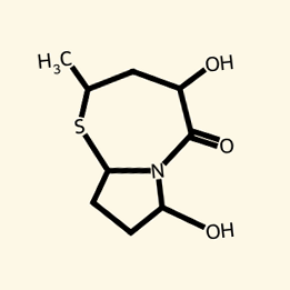 CC1CC(O)C(=O)N2C(O)CCC2S1